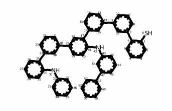 Sc1ccccc1-c1cccc(-c2cccc(-c3cc(-c4cccc(-c5ccccc5Nc5ccccc5)c4)ccc3Nc3cccc(-c4ccccc4)c3)c2)c1